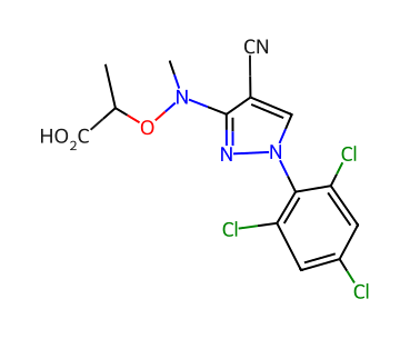 CC(ON(C)c1nn(-c2c(Cl)cc(Cl)cc2Cl)cc1C#N)C(=O)O